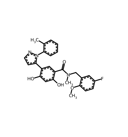 COc1ccc(F)cc1CN(C)C(=O)c1cc(-c2ccnn2-c2ccccc2C)c(O)cc1O